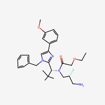 CCOCC(=O)N(C[C@H](F)CN)[C@@H](c1nc(-c2cccc(OC)c2)cn1Cc1ccccc1)C(C)(C)C